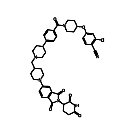 N#Cc1ccc(OC2CCN(C(=O)c3ccc(C4CCN(CC5CCN(c6ccc7c(c6)C(=O)N(C6CCC(=O)NC6=O)C7=O)CC5)CC4)cc3)CC2)cc1Cl